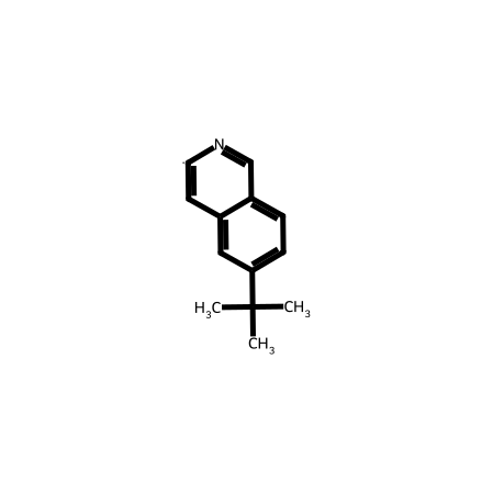 CC(C)(C)c1ccc2cn[c]cc2c1